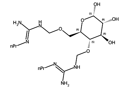 CCCN=C(N)NCOC[C@H]1O[C@H](O)[C@H](O)[C@@H](O)[C@@H]1OCNC(N)=NCCC